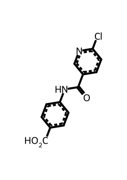 O=C(O)c1ccc(NC(=O)c2ccc(Cl)nc2)cc1